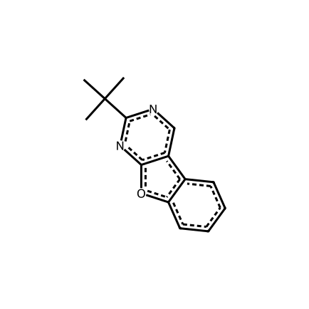 CC(C)(C)c1ncc2c(n1)oc1ccccc12